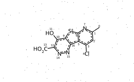 Cc1cc(Cl)c2c(n1)sc1c(O)c(C(=O)O)nnc12